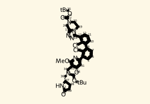 COc1nc(-c2cccc(-c3cccc(-c4nnc5n4CCN(C(=O)OC(C)(C)C)C5)c3Cl)c2Cl)ccc1CN(C[C@@H]1CCC(=O)N1)C(=O)OC(C)(C)C